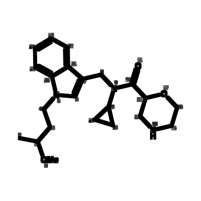 COC(C)CCn1cc(CN(C(=O)C2CNCCO2)C2CC2)c2ccccc21